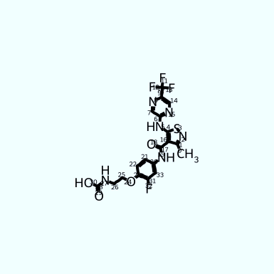 Cc1nsc(Nc2cnc(C(F)(F)F)cn2)c1C(=O)Nc1ccc(OCCNC(=O)O)c(F)c1